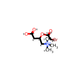 C[N+](C)(C)CC(CC(=O)[O-])OC(=O)CBr